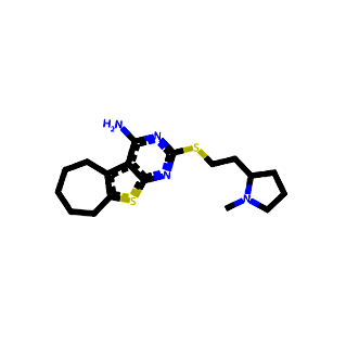 CN1CCCC1CCSc1nc(N)c2c3c(sc2n1)CCCCC3